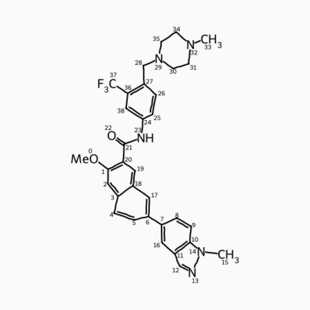 COc1cc2ccc(-c3ccc4c(cnn4C)c3)cc2cc1C(=O)Nc1ccc(CN2CCN(C)CC2)c(C(F)(F)F)c1